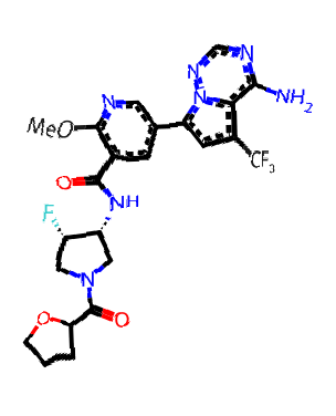 COc1ncc(-c2cc(C(F)(F)F)c3c(N)ncnn23)cc1C(=O)N[C@@H]1CN(C(=O)C2CCCO2)C[C@@H]1F